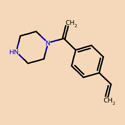 C=Cc1ccc(C(=C)N2CCNCC2)cc1